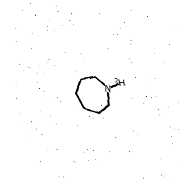 [2H]N1CCCCCC1